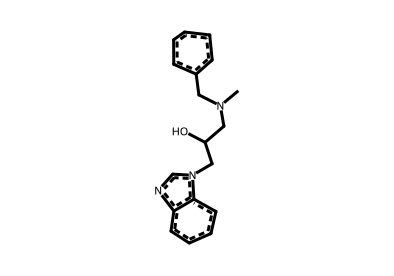 CN(Cc1ccccc1)CC(O)Cn1cnc2ccccc21